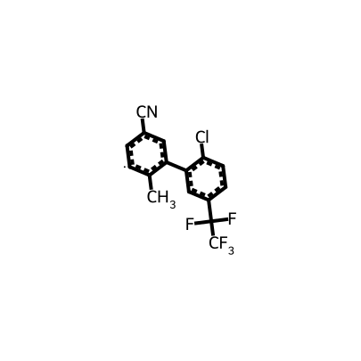 Cc1[c]cc(C#N)cc1-c1cc(C(F)(F)C(F)(F)F)ccc1Cl